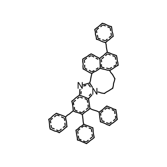 c1ccc(-c2cc3nc4n(c3c(-c3ccccc3)c2-c2ccccc2)CCCc2ccc(-c3ccccc3)c3cccc-4c23)cc1